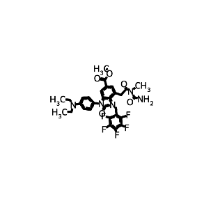 CCN(CC)c1ccc(-n2c(=O)n(Cc3c(F)c(F)c(F)c(F)c3F)c3c(CC(=O)N(C)C(N)=O)cc(C(=O)OC)cc32)cc1